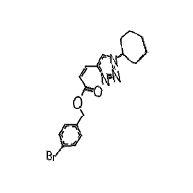 O=C(/C=C\c1cn(C2CCCCC2)nn1)OCc1ccc(Br)cc1